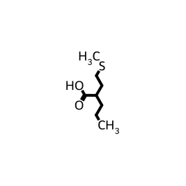 CCCC(CCSC)C(=O)O